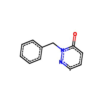 O=c1cc[c]nn1Cc1ccccc1